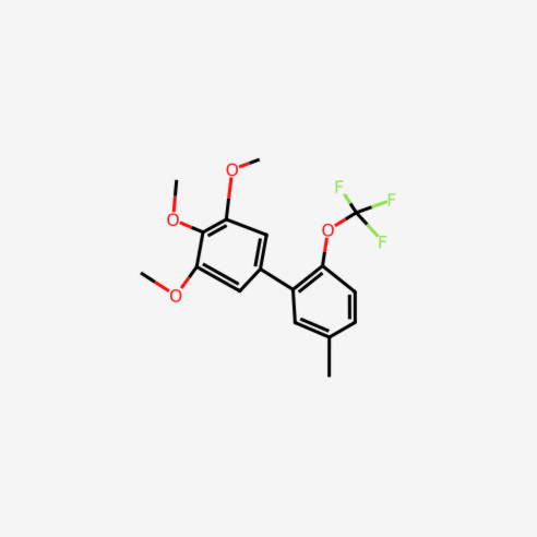 COc1cc(-c2cc(C)ccc2OC(F)(F)F)cc(OC)c1OC